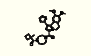 COc1cc2c(cc1OC)-c1c(-c3cccs3)cc(C(=O)N3CCCN(C(=O)C4(C)CCC4)CC3)n1CC2